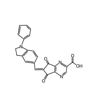 O=C(O)c1cnc2c(n1)C(=O)C(=Cc1ccc3c(c1)CCN3c1ccccc1)C2=O